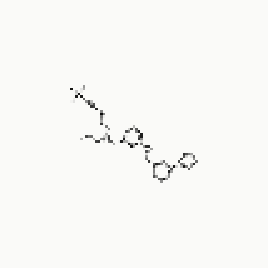 CCCN(CC=CC#CC(C)(C)C)Cc1cccc(OCc2cccc(-n3cccc3)c2)c1